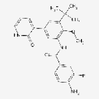 COc1c(NC(=O)c2ccc(N)c(F)c2)cc(-c2ccc[nH]c2=O)cc1C(C)(C)C